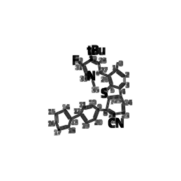 Cc1ccc2c(sc3c(-c4ccc(-c5ccccc5)cc4)c(C#N)ccc32)c1-c1cc(C(C)(C)C)c(F)c[n+]1C